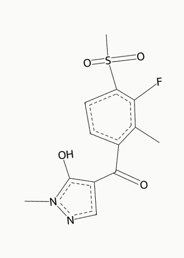 Cc1c(C(=O)c2cnn(C)c2O)ccc(S(C)(=O)=O)c1F